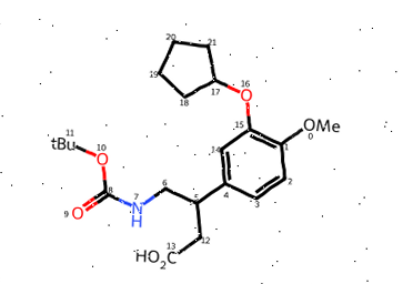 COc1ccc(C(CNC(=O)OC(C)(C)C)CC(=O)O)cc1OC1CCCC1